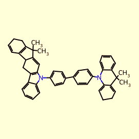 CC1(C)C2=Cc3c(c4ccccc4n3-c3ccc(-c4ccc(N5C6=CCCC=C6C(C)(C)c6ccccc65)cc4)cc3)CC2C2=C1CCC=C2